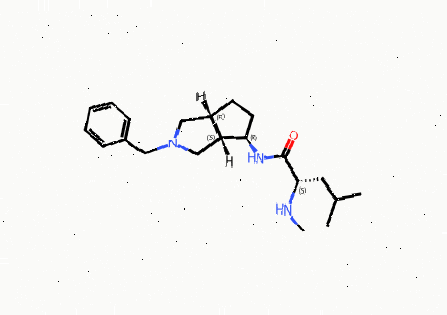 CN[C@@H](CC(C)C)C(=O)N[C@@H]1CC[C@H]2CN(Cc3ccccc3)C[C@H]21